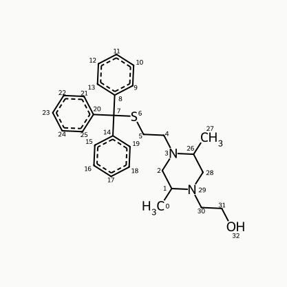 CC1CN(CCSC(c2ccccc2)(c2ccccc2)c2ccccc2)C(C)CN1CCO